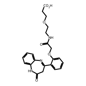 O=C(O)CCOCCNC(=O)COc1ccccc1C1=Nc2ccccc2NC(=O)C1